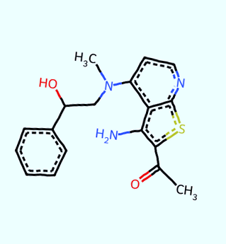 CC(=O)c1sc2nccc(N(C)CC(O)c3ccccc3)c2c1N